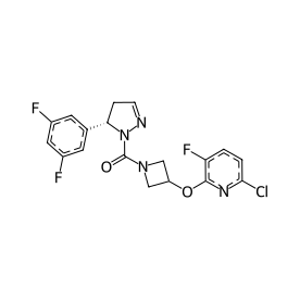 O=C(N1CC(Oc2nc(Cl)ccc2F)C1)N1N=CC[C@H]1c1cc(F)cc(F)c1